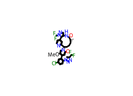 COc1cn([C@@H]2CCC[C@@H](C)C(=O)Nc3cnn(C(F)F)c3-c3ccnc2c3)c(=O)cc1-c1cc(Cl)ccc1-n1cc(C(F)F)nn1